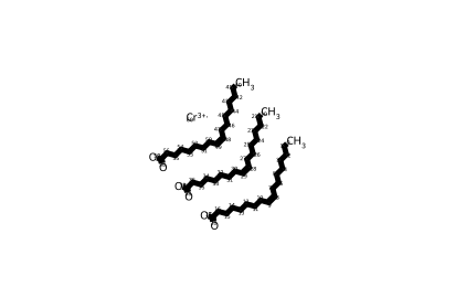 CCCCCCCC/C=C\CCCCCCCC(=O)[O-].CCCCCCCC/C=C\CCCCCCCC(=O)[O-].CCCCCCCC/C=C\CCCCCCCC(=O)[O-].[Cr+3]